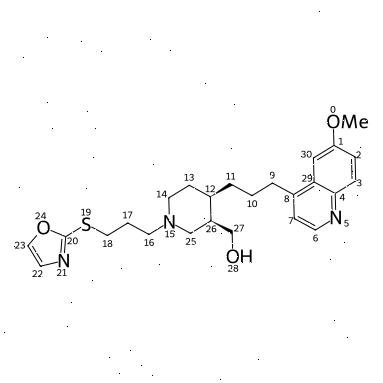 COc1ccc2nccc(CCC[C@@H]3CCN(CCCSc4ncco4)C[C@@H]3CO)c2c1